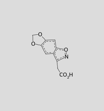 O=C(O)Cc1noc2cc3c(cc12)OCO3